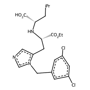 CCOC(=O)[C@H](Cc1cncn1Cc1cc(Cl)cc(Cl)c1)N[C@@H](CC(C)C)C(=O)O